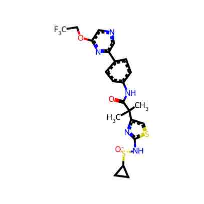 CC(C)(C(=O)Nc1ccc(-c2cncc(OCC(F)(F)F)n2)cc1)c1csc(N[S+]([O-])C2CC2)n1